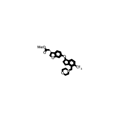 COC(=O)C[C@H]1COc2cc(OC3CCc4c3ccc(C(F)(F)F)c4CN3CCOCC3)ccc21